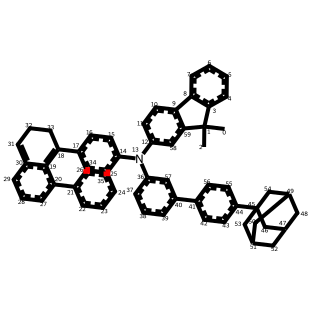 CC1(C)c2ccccc2-c2ccc(N(c3ccc(C4=c5c(-c6ccccc6)cccc5=CCC4)cc3)c3cccc(-c4ccc(C56CC7CC(CC(C7)C5)C6)cc4)c3)cc21